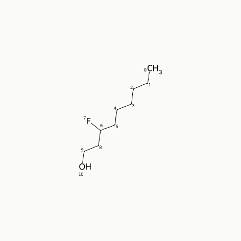 CCCCCCC(F)CCO